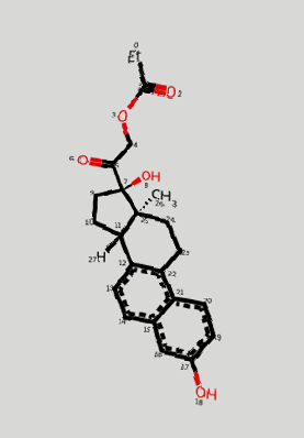 CCC(=O)OCC(=O)[C@@]1(O)CC[C@H]2c3ccc4cc(O)ccc4c3CC[C@@]21C